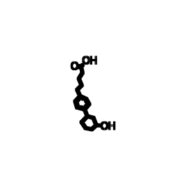 O=C(O)CCCCc1ccc(C2CCCC(O)C2)cc1